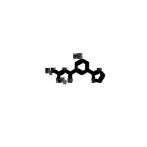 Cl.NC(N)=NC(=O)c1cccc(-c2nccs2)c1